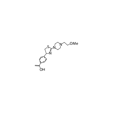 C=C(O)c1ccc(C2CSC(N3CCN(CCOC)CC3)=N2)cc1